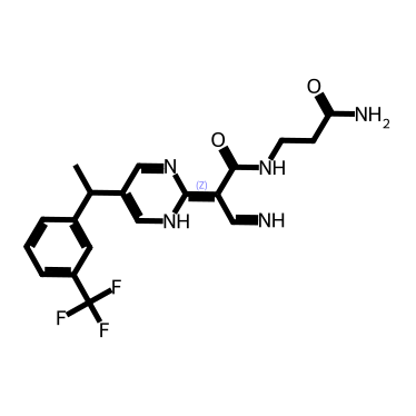 CC(C1=CN/C(=C(\C=N)C(=O)NCCC(N)=O)N=C1)c1cccc(C(F)(F)F)c1